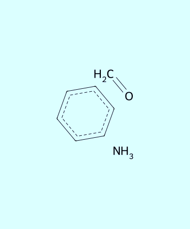 C=O.N.c1ccccc1